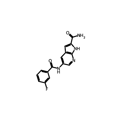 NC(=O)c1cc2cc(NC(=O)c3cccc(F)c3)cnc2[nH]1